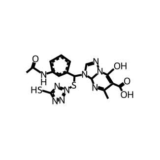 CC(=O)Nc1cccc(C(Sn2nnc(S)n2)N2C=NN3C(O)=C(C(=O)O)C(C)=NC32)c1